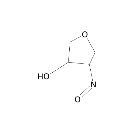 O=NC1COCC1O